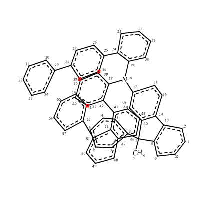 CC1(c2ccccc2)c2ccccc2-c2ccc(N(c3ccccc3-c3ccc(-c4ccccc4)cc3)c3ccccc3-c3cccc4cccc(-c5ccccc5)c34)cc21